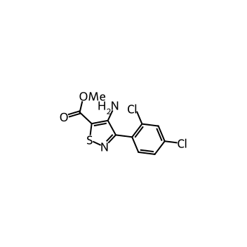 COC(=O)c1snc(-c2ccc(Cl)cc2Cl)c1N